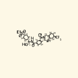 CCS(=O)(=O)c1ccc([C@H](CO)NC(=O)c2ccc3c(c2)C(=O)N(Cc2ccc(C(F)(F)F)cc2)C3C(C)C)cc1